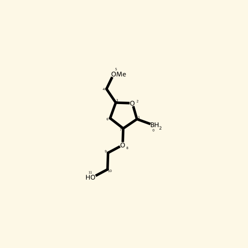 BC1OC(COC)CC1OCCO